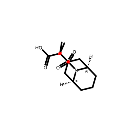 CCS(=O)(=O)N1[C@@H]2CCC[C@H]1CC(N(C)C(=O)O)C2